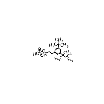 CCC(C)(C)c1cc(CCCOP(=O)(O)O)cc(C(C)(C)CC)c1